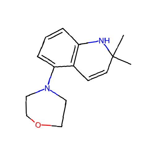 CC1(C)C=Cc2c(cccc2N2CCOCC2)N1